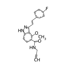 C#CCNC(=O)c1ccc2[nH]nc(C=Cc3ccc(F)cc3)c2c1OC